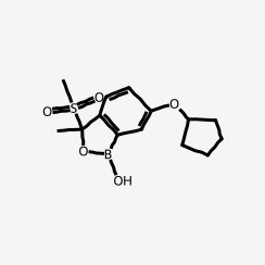 CC1(S(C)(=O)=O)OB(O)c2cc(OC3CCCC3)ccc21